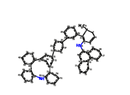 CC1CC=CC(Nc2cc3ccccc3c3ccccc23)=C1c1cccc(-c2ccc(-c3cc4cc(c3)-c3ccccc3-c3ccccc3Nc3ccccc3-4)cc2)c1